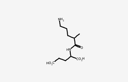 CC(CCCN)C(=O)NC(CCC(=O)O)C(=O)O